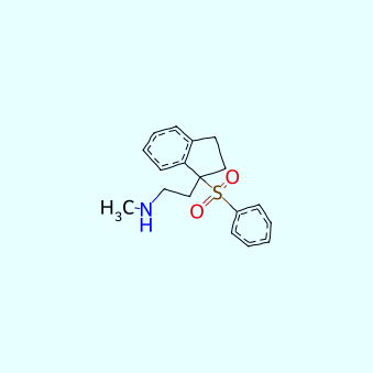 CNCCC1(S(=O)(=O)c2ccccc2)CCc2ccccc21